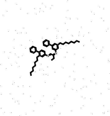 CCCCCCCCc1cc(N=C(C=Nc2ccc(-c3ccccc3)c(CCCCCCCC)c2)CC)cc(-c2ccccc2)c1